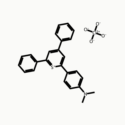 CN(C)c1ccc(-c2cc(-c3ccccc3)cc(-c3ccccc3)[s+]2)cc1.[O-][Cl+3]([O-])([O-])[O-]